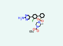 C[C@H]1CN(C(=O)OC(C)(C)C)CCN1S(=O)(=O)c1ccccc1-c1ccc(-c2cnc(N)nc2)c(F)c1